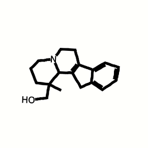 CC1(CO)CCCN2CCC3=C(Cc4ccccc43)C21